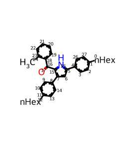 CCCCCCc1ccc(-c2cc(-c3ccc(CCCCCC)cc3)c(C(=O)c3ccccc3C)[nH]2)cc1